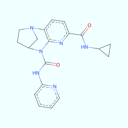 O=C(NC1CC1)c1ccc2c(n1)N(C(=O)Nc1ccccn1)C1CCN2C1